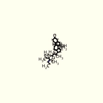 C=C/C=C(\SC)C(NC(=O)C[C@@H](C)C1CC[C@@]2(N)C3[C@H](O)CC4CC(=O)CCC4(C)[C@H]3CCC12C)C(C)C